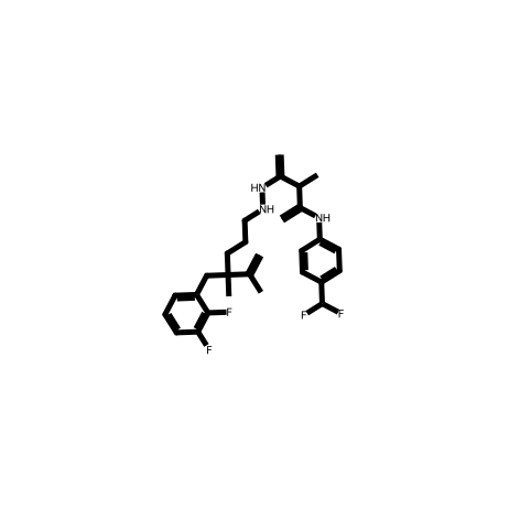 C=C(NNCCCC(C)(Cc1cccc(F)c1F)C(=C)C)C(C)C(=C)Nc1ccc(C(F)F)cc1